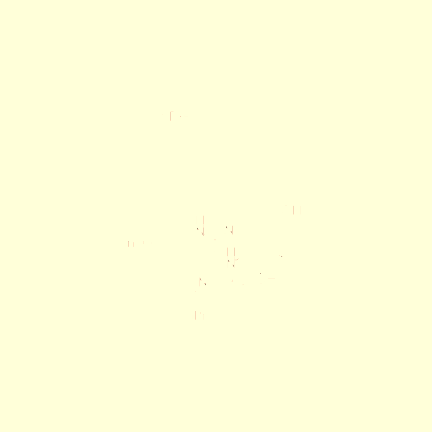 CCCCCCCCCCCCCCCCCCN(C(=O)NCCCCCCCCCCCC)[C@@H]1O[C@H](CO)[C@@H](O)[C@H](O)[C@H]1NC(=O)[C@@H](N)CC(C)C